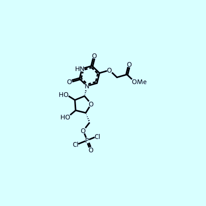 COC(=O)COc1cn([C@@H]2O[C@H](COP(=O)(Cl)Cl)C(O)C2O)c(=O)[nH]c1=O